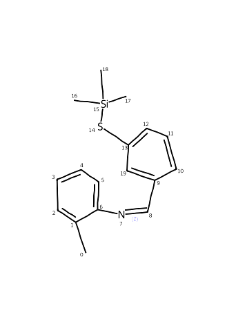 Cc1ccccc1/N=C\c1cccc(S[Si](C)(C)C)c1